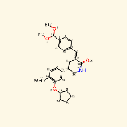 CCOC(OCC)c1ccc(C=C2C[C@@H](c3ccc(OC)c(OC4CCCC4)c3)CNC2=O)cc1